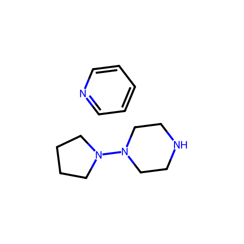 C1CCN(N2CCNCC2)C1.c1ccncc1